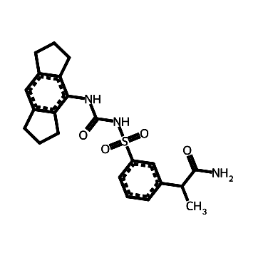 CC(C(N)=O)c1cccc(S(=O)(=O)NC(=O)Nc2c3c(cc4c2CCC4)CCC3)c1